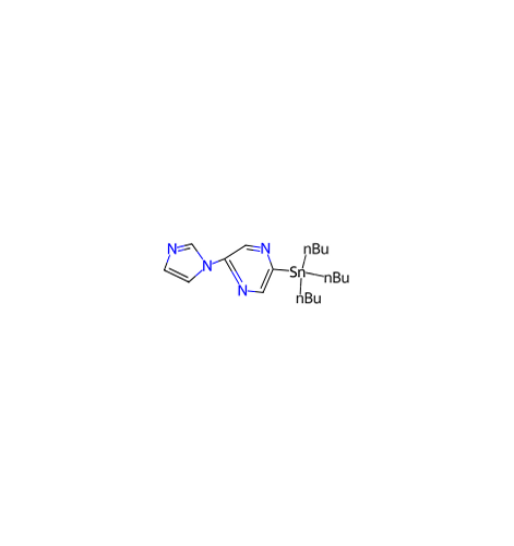 CCC[CH2][Sn]([CH2]CCC)([CH2]CCC)[c]1cnc(-n2ccnc2)cn1